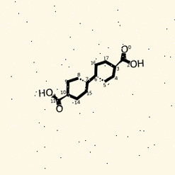 O=C(O)[C@H]1CC[C@H]([C@H]2CC[C@H](C(=O)O)CC2)CC1